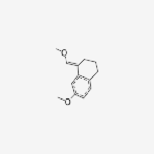 COC=C1CCCc2ccc(OC)cc21